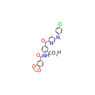 CN(c1ccc(Cl)cc1)c1ccc(C(=O)c2ccc(NC(=O)c3ccc4c(c3)OCCO4)c(C(=O)O)c2)nc1